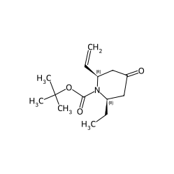 C=C[C@H]1CC(=O)C[C@@H](CC)N1C(=O)OC(C)(C)C